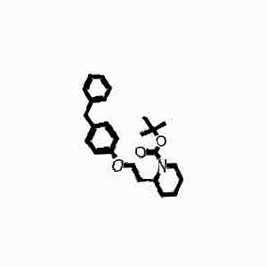 CC(C)(C)OC(=O)N1CCCC[C@H]1CCOc1ccc(Cc2ccccc2)cc1